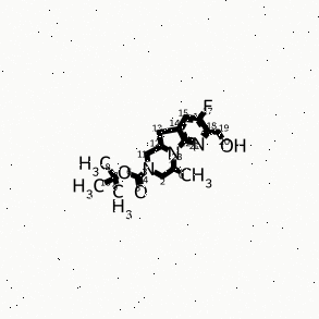 CC1CN(C(=O)OC(C)(C)C)CC2Cc3cc(F)c(CO)nc3N12